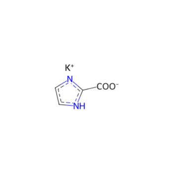 O=C([O-])c1ncc[nH]1.[K+]